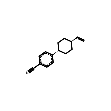 C=C[C@H]1CC[C@H](c2ccc(C#N)cc2)CC1